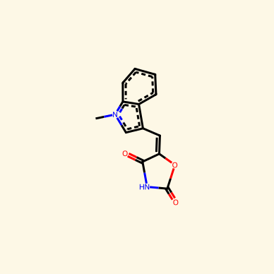 Cn1cc(C=C2OC(=O)NC2=O)c2ccccc21